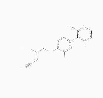 C#CCC(COc1ccc(-c2c(Cl)ccnc2Cl)cc1O)C(=O)O